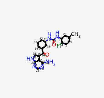 Cc1ccc(F)c(NC(=O)Nc2cccc(C(=O)c3c[nH]c4ncnc(N)c34)c2)c1